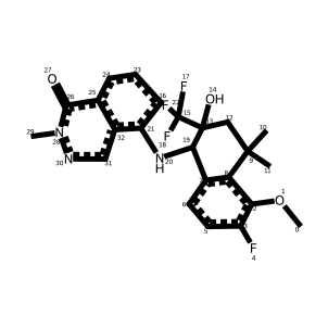 COc1c(F)ccc2c1C(C)(C)CC(O)(C(F)(F)F)C2Nc1cccc2c(=O)n(C)ncc12